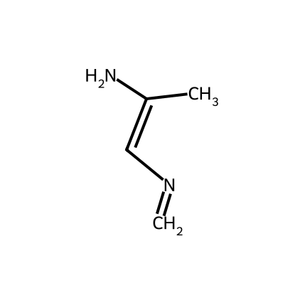 C=N/C=C(\C)N